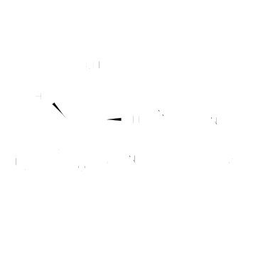 C#C[C@@]1(O)[C@H](O)C(=C)O[C@H]1n1ccc2c(Cl)ncnc21